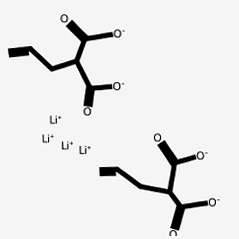 C=CCC(C(=O)[O-])C(=O)[O-].C=CCC(C(=O)[O-])C(=O)[O-].[Li+].[Li+].[Li+].[Li+]